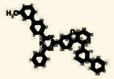 Cc1cccc(-c2ccc(-c3nc(-c4ccccc4)nc(-c4ccc5c(c4)oc4ccnc(-c6cccc(-c7ccccc7)c6)c45)n3)cc2)c1